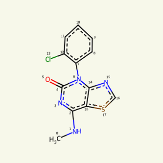 CNc1nc(=O)n(-c2ccccc2Cl)c2ncsc12